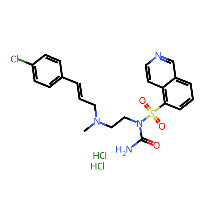 CN(CC=Cc1ccc(Cl)cc1)CCN(C(N)=O)S(=O)(=O)c1cccc2cnccc12.Cl.Cl